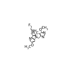 COc1cnc2c(CNCCF)cn(Cc3ncnc(OC)c3C)c2c1